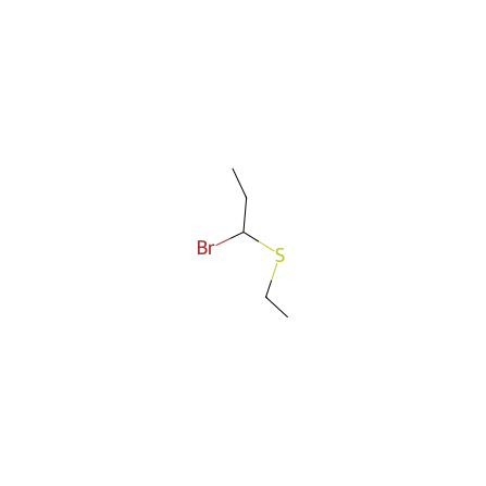 CCSC(Br)CC